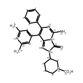 Cc1cc(-c2c(-c3ccccc3)nc(N)n3c(=O)n(C4CCCN(C(=O)O)C4)nc23)cc(C)n1